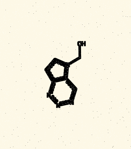 OCn1ccc2nnncc21